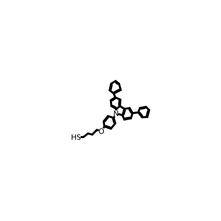 SCCCCOc1ccc(-n2c3ccc(-c4ccccc4)cc3c3cc(-c4ccccc4)ccc32)cc1